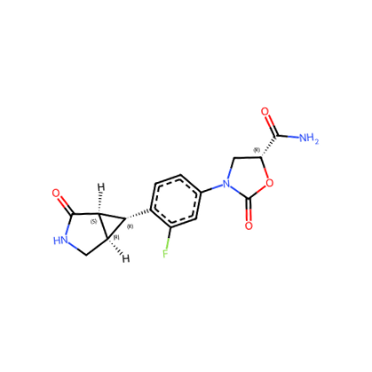 NC(=O)[C@H]1CN(c2ccc([C@@H]3[C@H]4CNC(=O)[C@H]43)c(F)c2)C(=O)O1